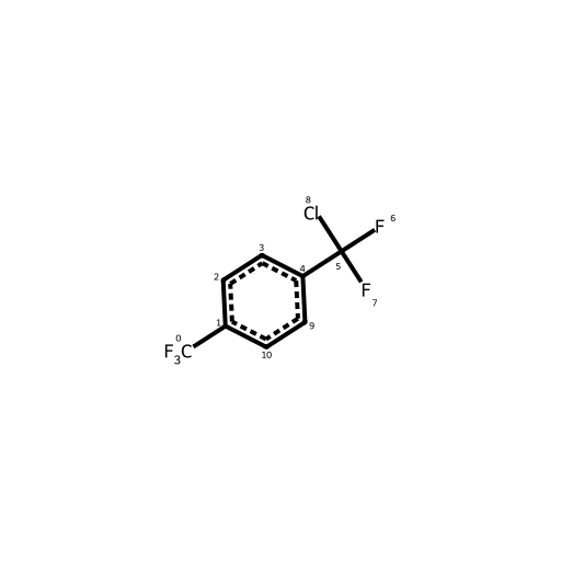 FC(F)(F)c1ccc(C(F)(F)Cl)cc1